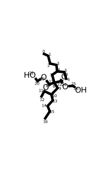 CCCCC(CC)CC(CC(CC)CCCC)(C(=O)OCO)C(=O)OCO